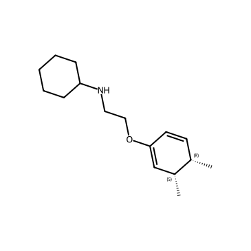 C[C@@H]1C=C(OCCNC2CCCCC2)C=C[C@@H]1C